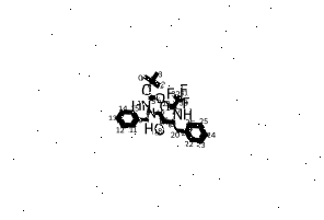 CC(C)(C)OC(=O)NN(Cc1ccccc1)C[C@H](O)[C@H](Cc1ccccc1)NC(=O)C(F)(F)F